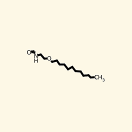 CCCCCCCCCCCCOCCN[C]=O